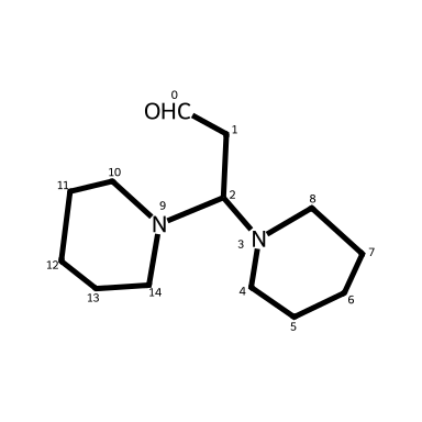 O=CCC(N1CCCCC1)N1CCCCC1